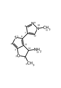 CC1Oc2csc(-c3cnn(C)c3)c2C1N